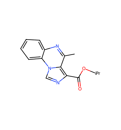 Cc1nc2ccccc2n2cnc(C(=O)OC(C)C)c12